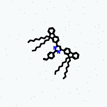 C=Cc1ccc(-c2nc(-c3ccc4c(c3)C(CCCCCCCC)(CCCCCCCC)c3ccccc3-4)cc(-c3ccc4c(c3)C(CCCCCCCC)(CCCCCCCC)c3ccccc3-4)n2)cc1